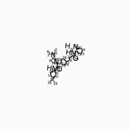 CCN(CC)C1CCN(C(C(=O)Nc2ccc(C(C)C)cc2)c2ccc(/C=C/C(=O)Nc3ccccc3N)cc2)C1